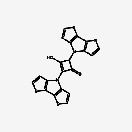 O=C1C(n2c3ccsc3c3sccc32)=C(O)C1n1c2ccsc2c2sccc21